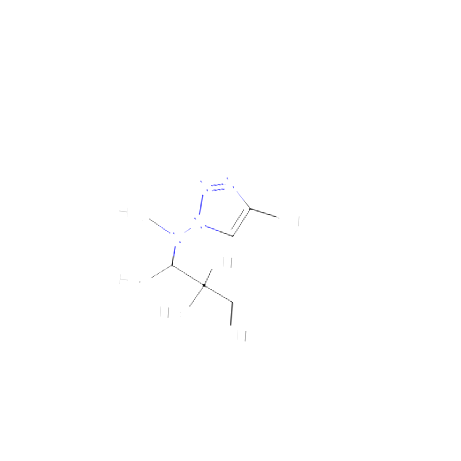 CCC(C)(C)C(C)N(C)n1cc(C)nn1